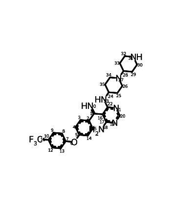 N=C(c1ccc(Oc2ccc(C(F)(F)F)cc2)cc1)c1c(N)ncnc1NC1CCN(C2CCNCC2)CC1